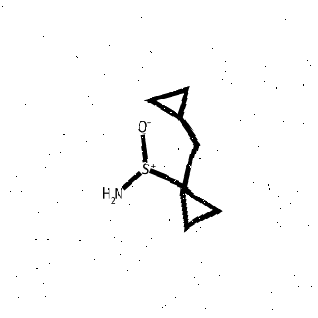 N[S+]([O-])C1(CC2CC2)CC1